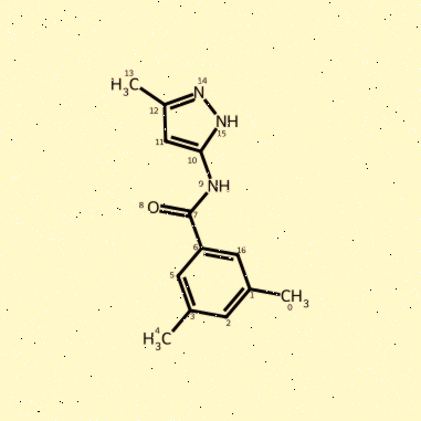 Cc1cc(C)cc(C(=O)Nc2cc(C)n[nH]2)c1